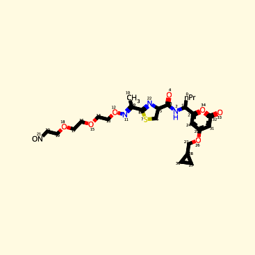 CCCC(NC(=O)C1CSC(/C(C)=N/OCCOCCOCCN=O)=N1)c1cc(OCC2CC2)cc(=O)o1